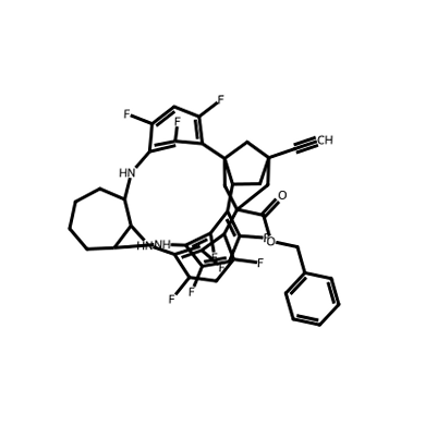 C#CC12CC3c4c(F)cc(F)c(c4F)NC4CCCCC5Nc6c(F)cc(F)c(c6F)C3(C1)CC(C(=O)OCc1ccccc1)(C2)C1C(F)=C(NC45)C(F)CC1F